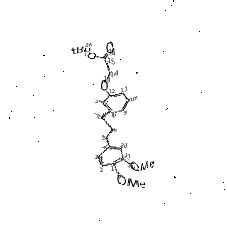 COc1ccc(CCCc2cccc(OCC(=O)OC(C)(C)C)c2)cc1OC